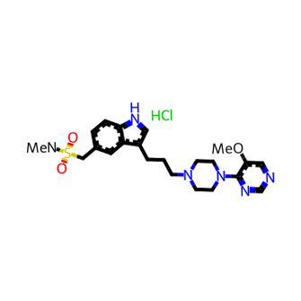 CNS(=O)(=O)Cc1ccc2[nH]cc(CCCN3CCN(c4ncncc4OC)CC3)c2c1.Cl